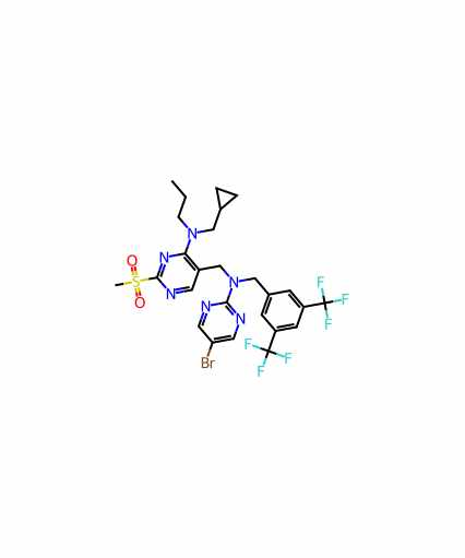 CCCN(CC1CC1)c1nc(S(C)(=O)=O)ncc1CN(Cc1cc(C(F)(F)F)cc(C(F)(F)F)c1)c1ncc(Br)cn1